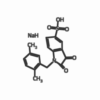 Cc1ccc(C)c(CN2C(=O)C(=O)c3cc(S(=O)(=O)O)ccc32)c1.[NaH]